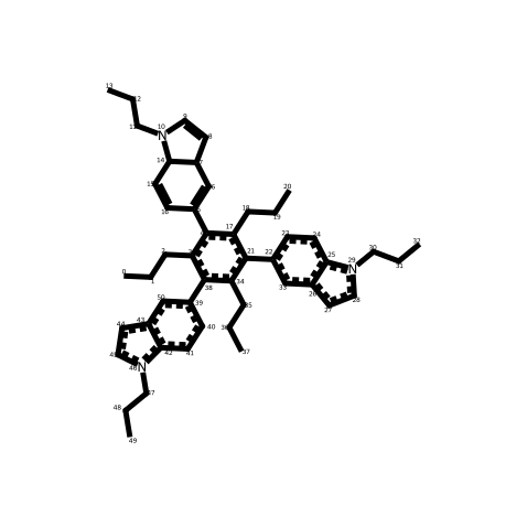 CCCc1c(C2=CC3C=CN(CCC)C3C=C2)c(CCC)c(-c2ccc3c(ccn3CCC)c2)c(CCC)c1-c1ccc2c(ccn2CCC)c1